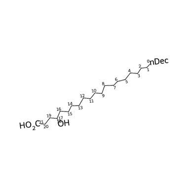 CCCCCCCCCCCCCCCCCCCCCCCCCCC(O)CCC(=O)O